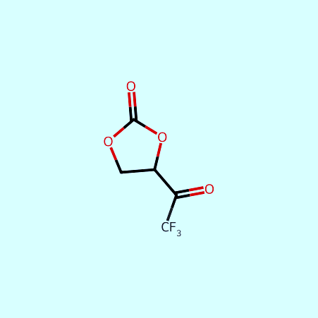 O=C1OCC(C(=O)C(F)(F)F)O1